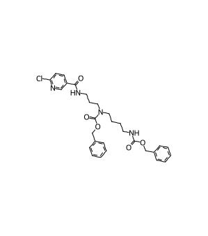 O=C(NCCCCN(CCCNC(=O)c1ccc(Cl)nc1)C(=O)OCc1ccccc1)OCc1ccccc1